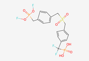 O=P(Cc1ccc(CS(=O)(=O)Cc2ccc(C(F)(F)P(=O)(O)O)cc2)cc1)(OF)OF